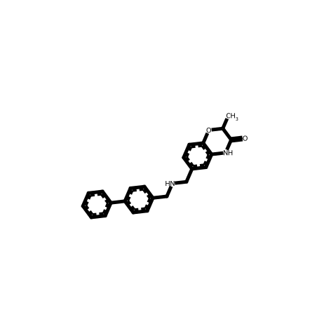 CC1Oc2ccc(CNCc3ccc(-c4ccccc4)cc3)cc2NC1=O